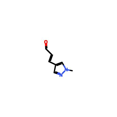 Cn1cc(C=CC=O)cn1